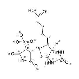 O=C(O)CCCC[C@@H]1SC[C@@H]2NC(=O)N[C@@H]21.O=C1CC(S(=O)(=O)O)C(=O)N1